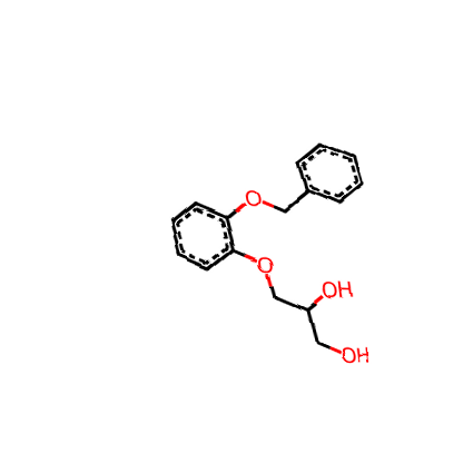 OCC(O)COc1ccccc1OCc1ccccc1